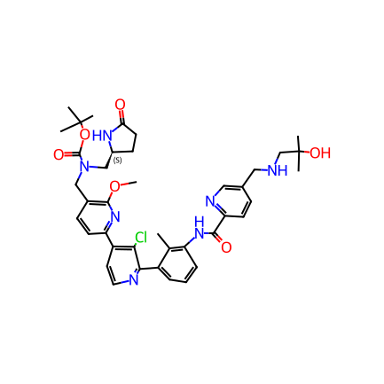 COc1nc(-c2ccnc(-c3cccc(NC(=O)c4ccc(CNCC(C)(C)O)cn4)c3C)c2Cl)ccc1CN(C[C@@H]1CCC(=O)N1)C(=O)OC(C)(C)C